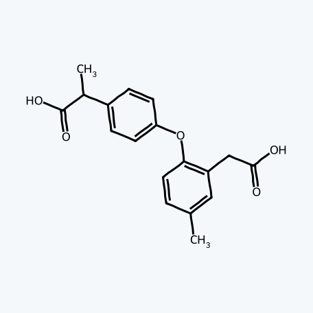 Cc1ccc(Oc2ccc(C(C)C(=O)O)cc2)c(CC(=O)O)c1